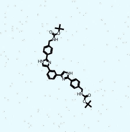 CC(C)(C)OC(=O)NCc1ccc(-c2nc(-c3cccc(-c4c[nH]c(-c5ccc(CNC(=O)OC(C)(C)C)cc5)n4)c3)c[nH]2)cc1